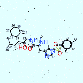 CN[C@@H](Cc1cn(S(=O)(=O)c2ccc(C)cc2)cn1)C(=O)N[C@@H](CC1CCCCC1)[C@@H](O)CCC(C)C